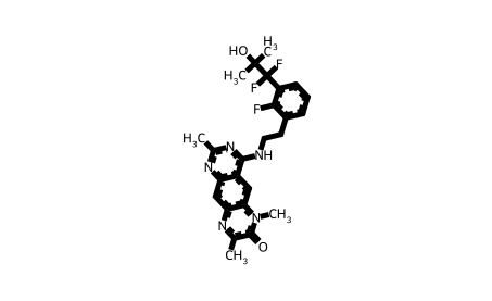 Cc1nc(NCCc2cccc(C(F)(F)C(C)(C)O)c2F)c2cc3c(cc2n1)nc(C)c(=O)n3C